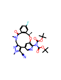 C[C@H]1Oc2cc(cnc2N(C(=O)OC(C)(C)C)C(=O)OC(C)(C)C)-c2c(nn(C)c2C#N)CN(C)C(=O)c2ccc(F)cc21